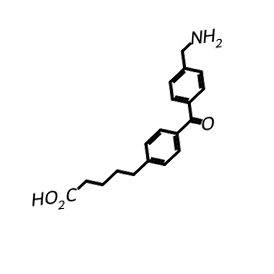 NCc1ccc(C(=O)c2ccc(CCCCC(=O)O)cc2)cc1